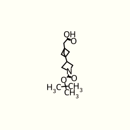 CC(C)(C)OC(=O)N1CC(C23CC(CC(=O)O)(C2)C3)C1